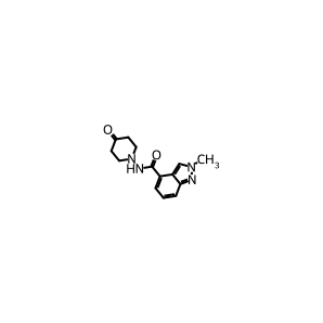 Cn1cc2c(C(=O)NN3CCC(=O)CC3)cccc2n1